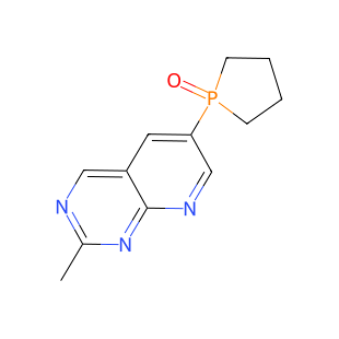 Cc1ncc2cc(P3(=O)CCCC3)cnc2n1